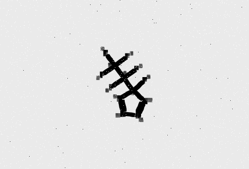 FC(F)(F)C(F)(F)C1(F)N=NN=N1